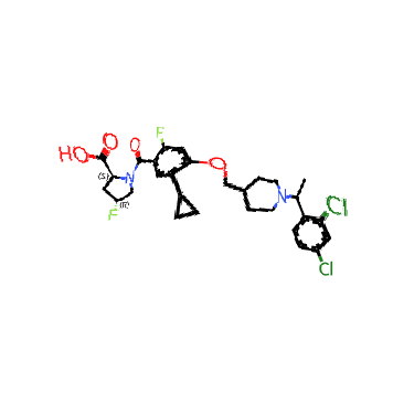 CC(c1ccc(Cl)cc1Cl)N1CCC(COc2cc(F)c(C(=O)N3C[C@H](F)C[C@H]3C(=O)O)cc2C2CC2)CC1